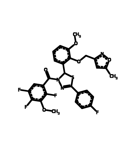 COc1cccc(C2SC(c3ccc(F)cc3)=NN2C(=O)c2cc(F)c(F)c(OC)c2F)c1OCc1cc(C)on1